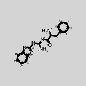 N/C(=N\C(=O)C(N)Cc1ccccc1)Nc1nc2ccccc2o1